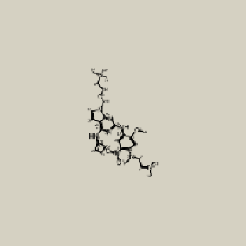 COc1cc(N(C)CCN(C)C)c([N+](=O)[O-])cc1Nc1nc(NC23CC(C2)C3)c2ccn(COCC[Si](C)(C)C)c2n1